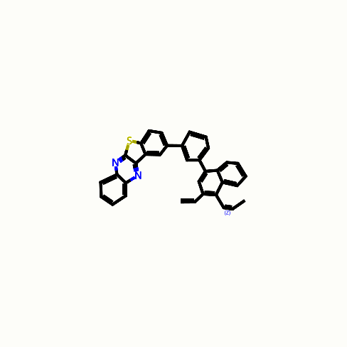 C=Cc1cc(-c2cccc(-c3ccc4sc5nc6ccccc6nc5c4c3)c2)c2ccccc2c1/C=C\C